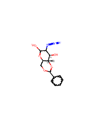 [N-]=[N+]=NC1C(O)OC2COC(c3ccccc3)O[C@H]2[C@@H]1O